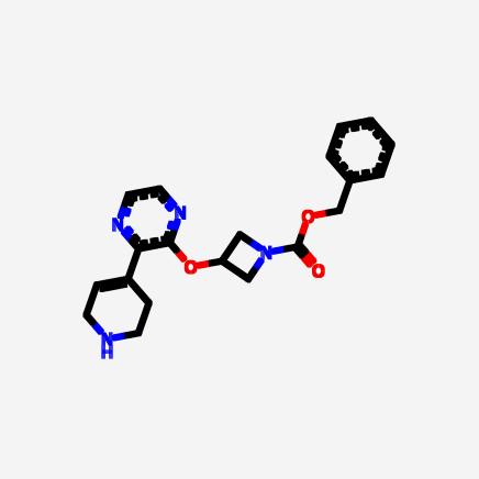 O=C(OCc1ccccc1)N1CC(Oc2nccnc2C2=CCNCC2)C1